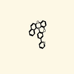 c1ccc(-c2ccc3c(c2)Oc2cccc4c2B3c2c(ccc3ccccc23)O4)nc1